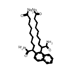 NC(=O)CCCCCCCC(C(N)=O)c1ccc2ccccc2c1C(CCCCCCCC(N)=O)C(N)=O